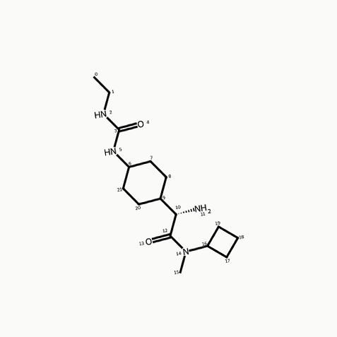 CCNC(=O)NC1CCC([C@H](N)C(=O)N(C)C2CCC2)CC1